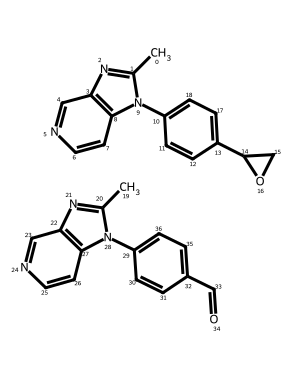 Cc1nc2cnccc2n1-c1ccc(C2CO2)cc1.Cc1nc2cnccc2n1-c1ccc(C=O)cc1